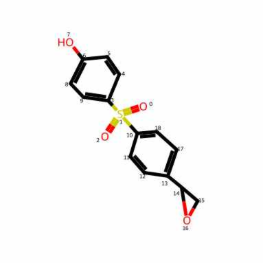 O=S(=O)(c1ccc(O)cc1)c1ccc(C2CO2)cc1